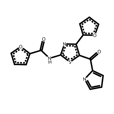 O=C(Nc1nc(-c2ccco2)c(C(=O)C2=CC=C=N2)s1)c1ccco1